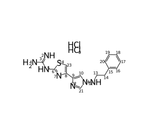 Cl.Cl.N=C(N)Nc1nc(-c2cn(NCCc3ccccc3)cn2)cs1